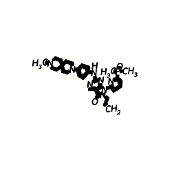 C=CCn1c(=O)c2cnc(Nc3ccc(N4CCC5(CCN(C)CC5)CC4)cc3)nc2n1-c1cccc(P(C)(C)=O)n1